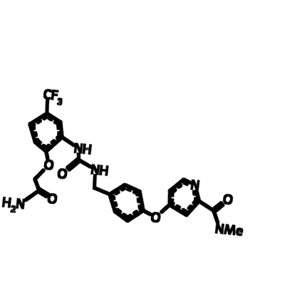 CNC(=O)c1cc(Oc2ccc(CNC(=O)Nc3cc(C(F)(F)F)ccc3OCC(N)=O)cc2)ccn1